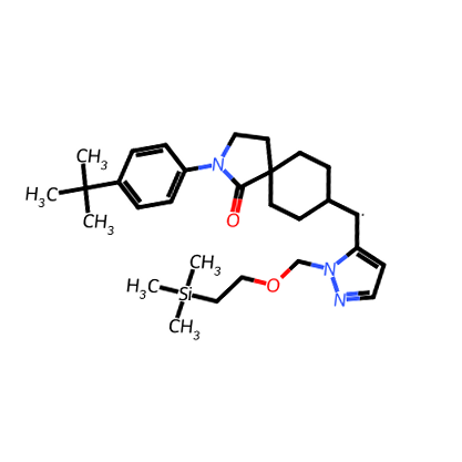 CC(C)(C)c1ccc(N2CCC3(CCC([CH]c4ccnn4COCC[Si](C)(C)C)CC3)C2=O)cc1